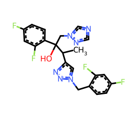 CC(c1cn(Cc2ccc(F)cc2F)nn1)C(O)(Cn1cncn1)c1ccc(F)cc1F